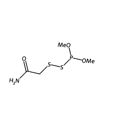 COP(OC)SSCC(N)=O